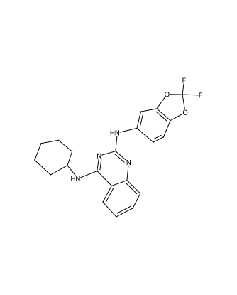 FC1(F)Oc2ccc(Nc3nc(NC4CCCCC4)c4ccccc4n3)cc2O1